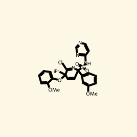 COc1cccc(C2(S(=O)(=O)Nc3ccncn3)C=CC(Oc3ccccc3OC)(C(C)C)C(Cl)=N2)c1